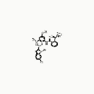 CCOc1cc(NC(=O)c2ccccc2C(=O)NN)c(C[S+]([O-])c2nc3ccc(Cl)cc3n2CC)c(OCC)c1